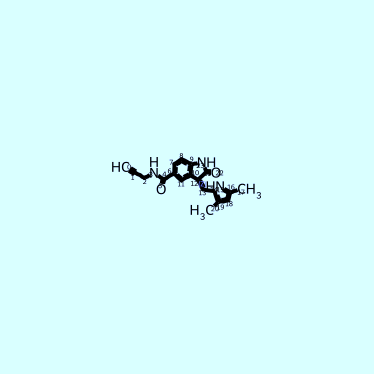 C#CCNC(=O)c1ccc2c(c1)/C(=C/c1[nH]c(C)cc1C)C(=O)N2